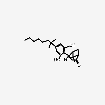 CCCCCCC(C)(C)c1cc(O)c([C@H]2CC(=O)C3CC2C3(C)C)c(O)c1